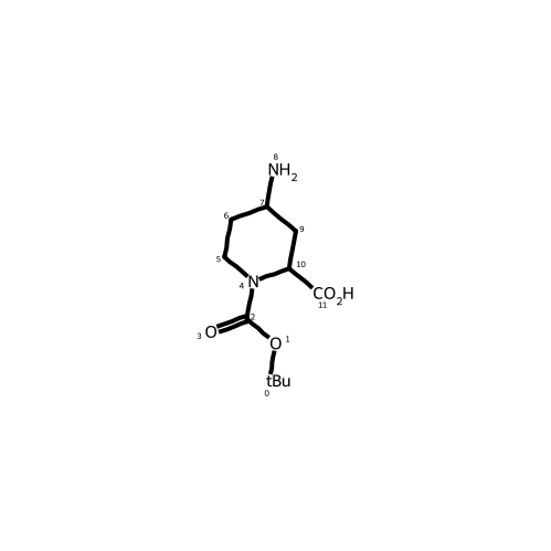 CC(C)(C)OC(=O)N1CCC(N)CC1C(=O)O